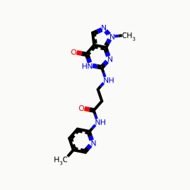 Cc1ccc(NC(=O)CCNc2nc3c(cnn3C)c(=O)[nH]2)nc1